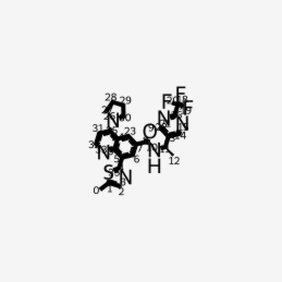 Cc1cnc(-c2cc(C(=O)N[C@H](C)c3cnc(C(F)(F)F)nc3)cc3c(N4CCCC4)ccnc23)s1